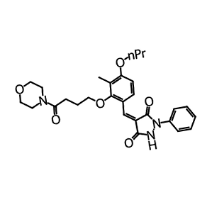 CCCOc1ccc(/C=C2/C(=O)NN(c3ccccc3)C2=O)c(OCCCC(=O)N2CCOCC2)c1C